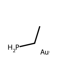 CCP.[Au]